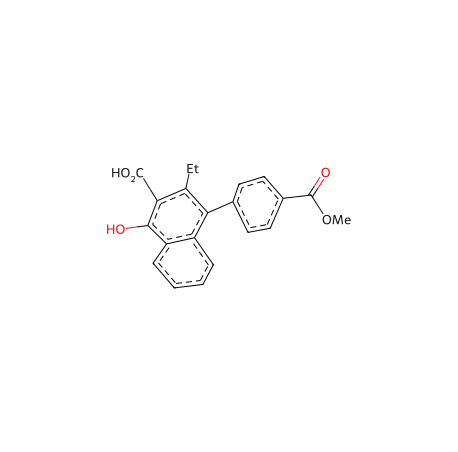 CCc1c(C(=O)O)c(O)c2ccccc2c1-c1ccc(C(=O)OC)cc1